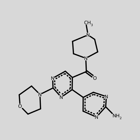 CN1CCN(C(=O)c2cnc(N3CCOCC3)nc2-c2cnc(N)nc2)CC1